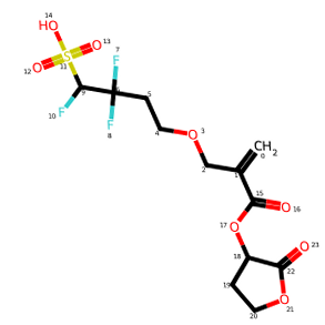 C=C(COCCC(F)(F)C(F)S(=O)(=O)O)C(=O)OC1CCOC1=O